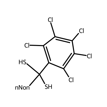 CCCCCCCCCC(S)(S)c1c(Cl)c(Cl)c(Cl)c(Cl)c1Cl